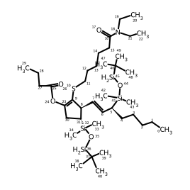 CCCCC[C@@H](/C=C/[C@@H]1C(SCCCCCC(=O)N(CC)CC)=C(OC(=O)CCC)C[C@H]1[Si](C)(C)O[SiH2]C(C)(C)C)[Si](C)(C)O[SiH2]C(C)(C)C